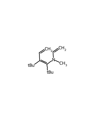 C=C/C(=C(\N(C)C=C)C(C)(C)C)C(C)(C)C